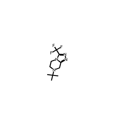 CC(C)(C)N1CCn2c(nnc2C(F)(F)F)C1